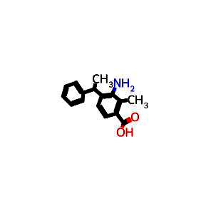 Cc1c(C(=O)O)ccc(C(C)c2ccccc2)c1N